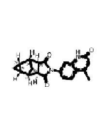 Cc1cc(=O)[nH]c2cc(N3C(=O)[C@@H]4[C@@H]5C[C@@H]([C@@H]6C[C@@H]65)[C@@H]4C3=O)ccc12